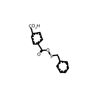 O=C(O)c1ccc(C(=O)OSCc2ccccc2)cc1